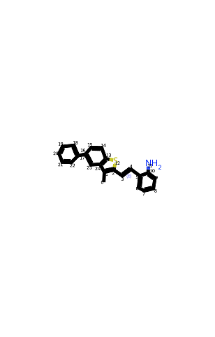 Cc1c(/C=C/c2ccccc2N)sc2ccc(-c3ccccc3)cc12